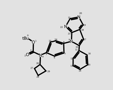 CC(C)(C)OC(=O)N(c1ccc(-n2c(-c3ccccc3)cc3cncnc32)cc1)C1CCC1